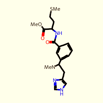 CNC(Cc1c[nH]cn1)c1cccc(C(=O)NC(CCSC)C(=O)OC)c1